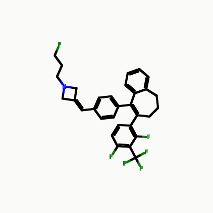 FCCCN1CC(=Cc2ccc(C3=C(c4ccc(F)c(C(F)(F)F)c4F)CCCc4ccccc43)cc2)C1